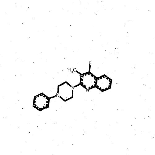 Cc1c(N2CCN(c3ccccc3)CC2)nc2ccccc2c1F